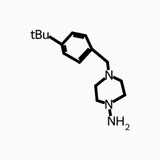 CC(C)(C)c1ccc(CN2CCN(N)CC2)cc1